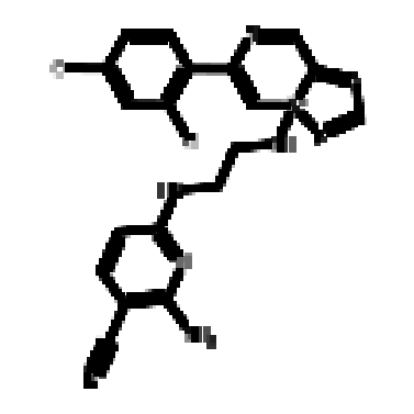 N#Cc1ccc(NCCN[N+]23C=C(c4ccc(Cl)cc4Cl)N=CC2=NC=N3)nc1N